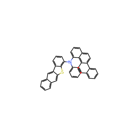 c1ccc(N(c2cccc3c2sc2cc4ccccc4cc23)c2cccc3ccc4c5ccccc5ccc4c23)cc1